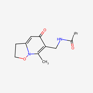 Cc1c(CNC(=O)C(C)C)c(=O)cc2n1OCC2